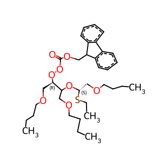 CCCCOCC(O[C@H](COCCCC)SCC)[C@@H](COCCCC)OOC(=O)OCC1c2ccccc2-c2ccccc21